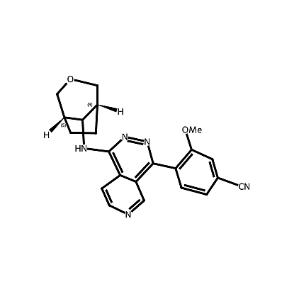 COc1cc(C#N)ccc1-c1nnc(NC2[C@@H]3CC[C@H]2COC3)c2ccncc12